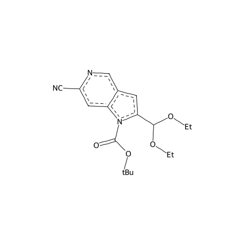 CCOC(OCC)c1cc2cnc(C#N)cc2n1C(=O)OC(C)(C)C